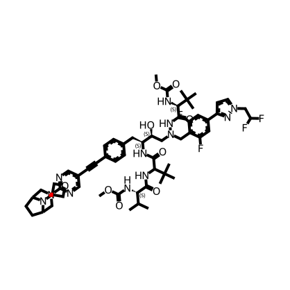 COC(=O)N[C@H](C(=O)NC(C(=O)N[C@@H](Cc1ccc(C#Cc2cnc(N3CC4CCC(C3)N4C3COC3)nc2)cc1)[C@@H](O)CN(Cc1c(F)cc(-c2ccn(CC(F)F)n2)cc1F)NC(=O)[C@@H](NC(=O)OC)C(C)(C)C)C(C)(C)C)C(C)C